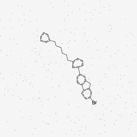 Brc1ccc2c(c1)Cc1cc(-c3cccc(CCCCCCc4ccccc4)c3)ccc1-2